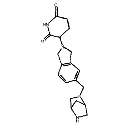 O=C1CCC(N2Cc3ccc(CN4CC5CC4CN5)cc3C2)C(=O)N1